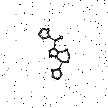 O=C(c1cccs1)c1cnn2c(-c3cccs3)ccnc12